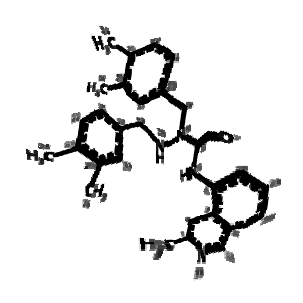 Cc1cc2c(NC(=O)N(Cc3ccc(C)c(C)c3)NCc3ccc(C)c(C)c3)cccc2cn1